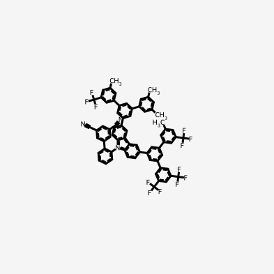 Cc1cc(C)cc(-c2cc(-c3cc(C)cc(C(F)(F)F)c3)cc(-c3ccc4c(c3)c3cc(-c5cc(-c6cc(C)cc(C(F)(F)F)c6)cc(-c6cc(C(F)(F)F)cc(C(F)(F)F)c6)c5)ccc3n4-c3ccccc3-c3cc(C#N)cc(C#N)c3)c2)c1